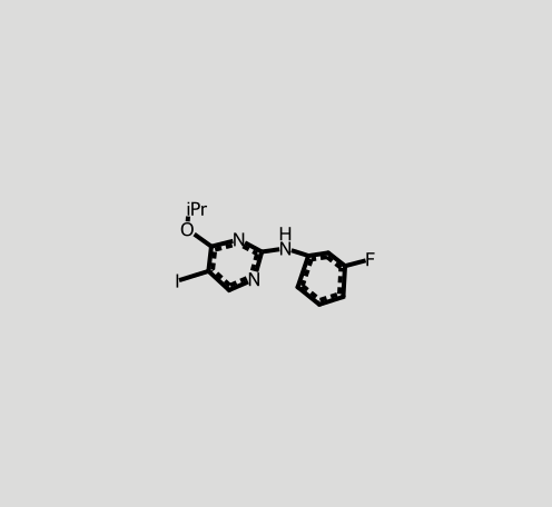 CC(C)Oc1nc(Nc2cccc(F)c2)ncc1I